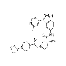 C#CC1(C(=O)Nc2ccc3[nH]nc(-c4ccnc(C)c4)c3c2)CCN(CC(=O)N2CCN(c3ccsc3)CC2)C1